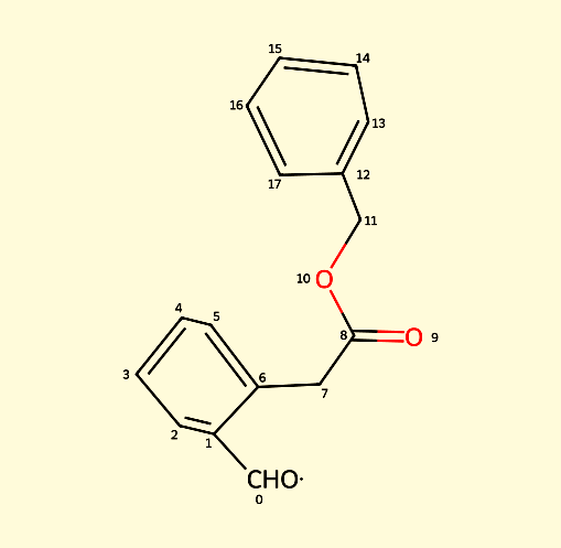 O=[C]c1ccccc1CC(=O)OCc1ccccc1